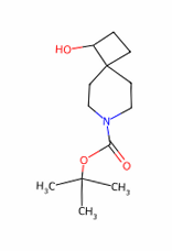 CC(C)(C)OC(=O)N1CCC2(CCC2O)CC1